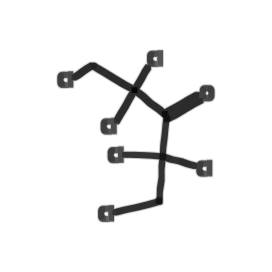 O=C(C(Cl)(Cl)CCl)C(Cl)(Cl)CCl